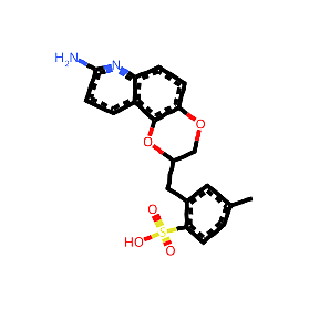 Cc1ccc(S(=O)(=O)O)c(CC2COc3ccc4nc(N)ccc4c3O2)c1